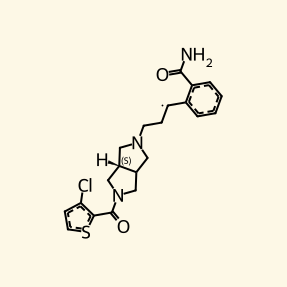 NC(=O)c1ccccc1[CH]CCN1CC2CN(C(=O)c3sccc3Cl)C[C@@H]2C1